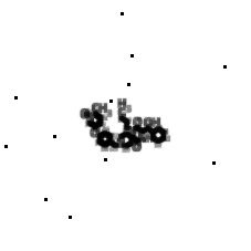 CCCCN1C(=O)[C@@H]([C@H](O)C2CCCCC2)NC(=O)C12CCN(Cc1ccc(Oc3ccc(C)[n+]([O-])c3)cc1)CC2